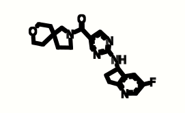 O=C(c1cnc(NC2CCc3ncc(F)cc32)nc1)N1CCC2(CCOCC2)C1